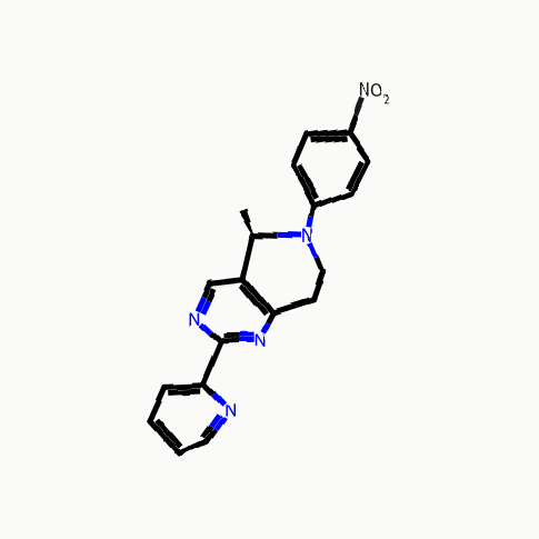 C[C@@H]1c2cnc(-c3ccccn3)nc2CCN1c1ccc([N+](=O)[O-])cc1